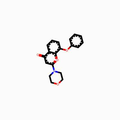 O=c1cc(N2CCOCC2)oc2c(Oc3ccccc3)cccc12